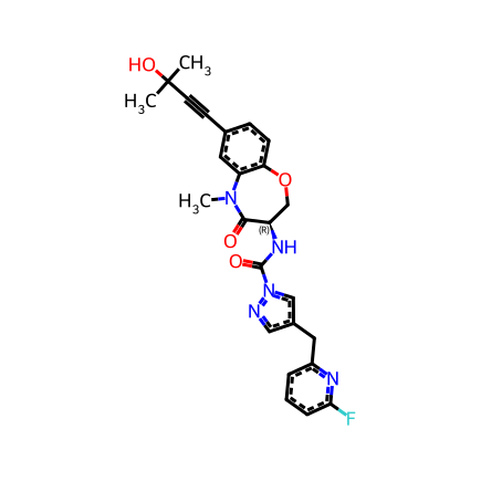 CN1C(=O)[C@H](NC(=O)n2cc(Cc3cccc(F)n3)cn2)COc2ccc(C#CC(C)(C)O)cc21